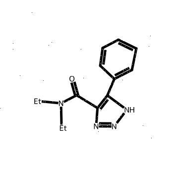 CCN(CC)C(=O)c1nn[nH]c1-c1ccccc1